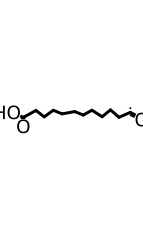 O=[C]CCCCCCCCCCC(=O)O